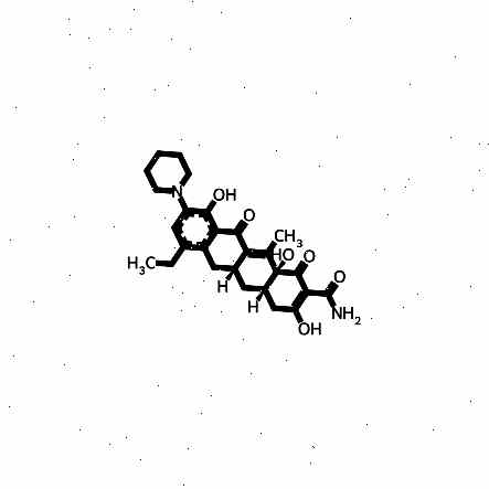 CCc1cc(N2CCCCC2)c(O)c2c1C[C@H]1C[C@H]3CC(O)=C(C(N)=O)C(=O)[C@@]3(O)C(C)=C1C2=O